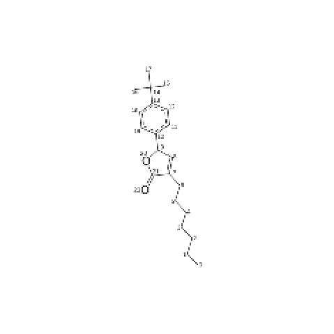 CCCCCCCC1=CC(c2ccc(C(C)(C)C)cc2)OC1=O